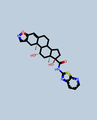 C[C@]12Cc3cnoc3C=C1CCC1C2[C@@H](O)C[C@@]2(C)C1CC[C@]2(O)C(=O)Nc1nc2cccnc2s1